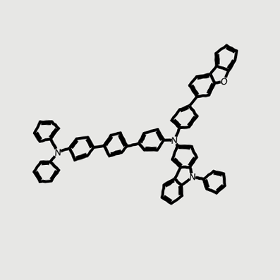 c1ccc(N(c2ccccc2)c2ccc(-c3ccc(-c4ccc(N(c5ccc(-c6ccc7c(c6)oc6ccccc67)cc5)c5ccc6c(c5)c5ccccc5n6-c5ccccc5)cc4)cc3)cc2)cc1